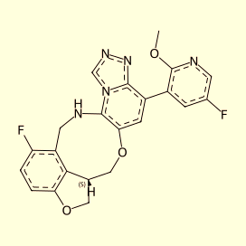 COc1ncc(F)cc1-c1cc2c(n3cnnc13)NCc1c(F)ccc3c1[C@@H](CO3)CO2